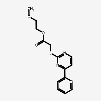 COCCOC(=O)CSc1nccc(-c2ccccn2)n1